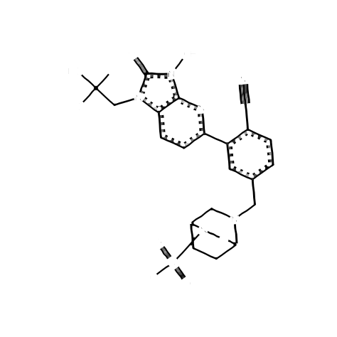 Cn1c(=O)n(CC(C)(C)C)c2ccc(-c3cc(CN4CC5CCC4CN5S(C)(=O)=O)ccc3C#N)nc21